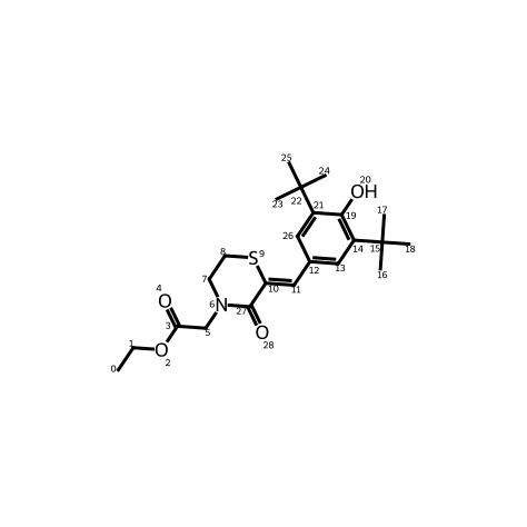 CCOC(=O)CN1CCSC(=Cc2cc(C(C)(C)C)c(O)c(C(C)(C)C)c2)C1=O